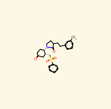 O=C1CC[C@H](N2CCC(CCc3cccc(C(F)(F)F)c3)C2=O)[C@H](CS(=O)(=O)c2ccccc2)C1